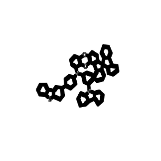 c1cc(N(c2ccc(-c3ccc4sc5ccccc5c4c3)cc2)c2cccc3c2Oc2c(ccc4c2-c2ccccc2C42c4ccccc4-c4ccccc42)O3)cc(-n2c3ccccc3c3ccccc32)c1